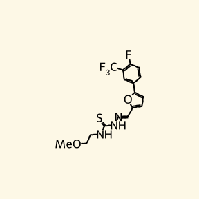 COCCNC(=S)NN=Cc1ccc(-c2ccc(F)c(C(F)(F)F)c2)o1